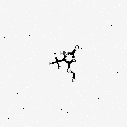 O=COc1sc(=O)[nH]c1C(F)(F)F